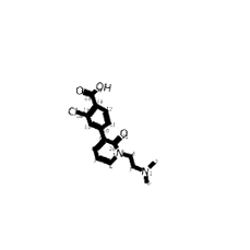 CN(C)CCn1cccc(-c2ccc(C(=O)O)c(Cl)c2)c1=O